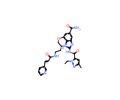 CCn1nc(C)cc1C(=O)Nc1nc2cc(C(N)=O)cc3c2n1[C@@H](CCNC(=O)/C=C/c1cccnc1)CO3